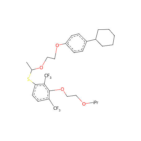 CC(C)OCCOc1c(C(F)(F)F)ccc(SC(C)OCCOc2ccc(C3CCCCC3)cc2)c1C(F)(F)F